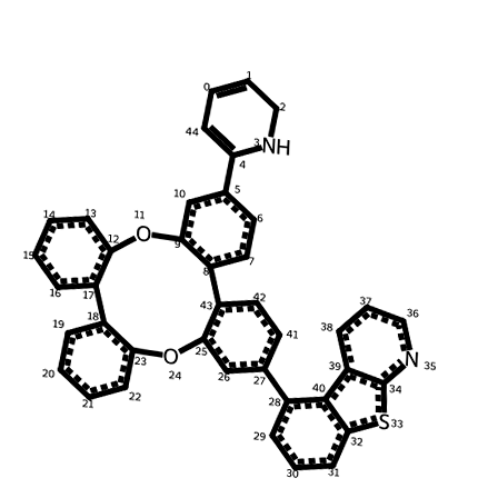 C1=CCNC(c2ccc3c(c2)Oc2ccccc2-c2ccccc2Oc2cc(-c4cccc5sc6ncccc6c45)ccc2-3)=C1